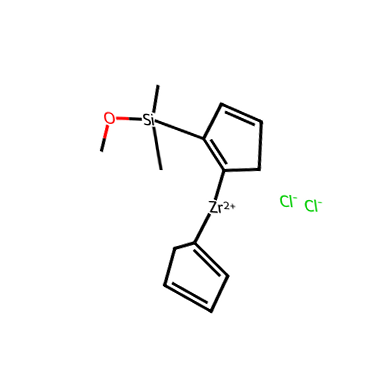 CO[Si](C)(C)C1=[C]([Zr+2][C]2=CC=CC2)CC=C1.[Cl-].[Cl-]